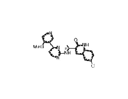 COc1ccncc1-c1ccnc(N[C@@H](C)c2cc3cc(Cl)ccc3[nH]c2=O)n1